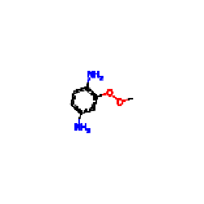 COOc1cc(N)ccc1N